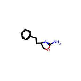 NC1=NC(CCc2cc[c]cc2)CO1